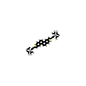 CC(C)[Si](C#Cc1cc2cc3c(ccc4c5cc6cc(C#C[Si](C(C)C)(C(C)C)C(C)C)sc6cc5ccc34)cc2s1)(C(C)C)C(C)C